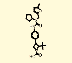 Cc1ccc(CN(C(=O)Nc2ccc(C3CN(C(=O)O)C3C(C)(C)C)cc2)C2CCCC2)o1